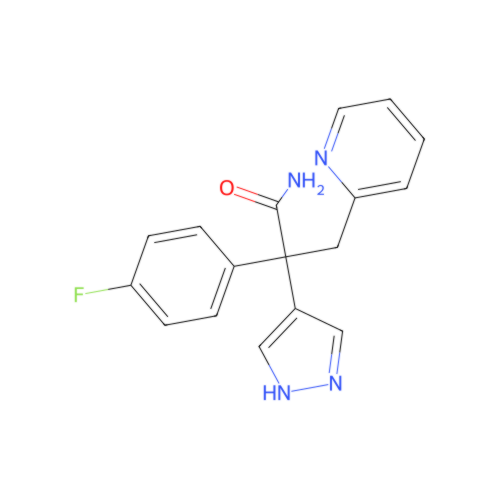 NC(=O)C(Cc1ccccn1)(c1ccc(F)cc1)c1cn[nH]c1